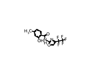 Cc1ccc(C(=O)Nc2nc(C(F)(F)C(F)(F)F)co2)c(O)c1